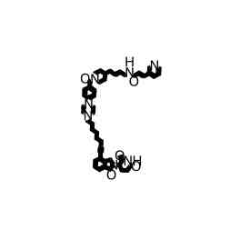 O=C(/C=C/c1cccnc1)NC/C=C/CC1CCN(C(=O)c2ccc(N3CCN(CCCCCCC#Cc4cccc5c4CN(C4CCC(=O)NC4=O)C5=O)CC3)cc2)CC1